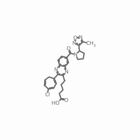 Cc1nonc1C1CCCN1C(=O)c1ccc2nc(C3=CC=C(Cl)C=CC3)c(CCCCC(=O)O)nc2c1